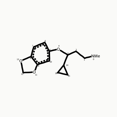 CNCCC(Oc1ccc2c(c1)OCO2)C1CC1